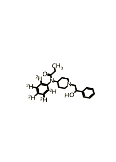 [2H]c1c([2H])c([2H])c(N(C(=O)CC)C2CCN(CC(O)c3ccccc3)CC2)c([2H])c1[2H]